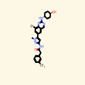 CCc1cc(-c2cc(NC(=O)Cc3cccc(C(F)(F)F)c3)nn2C)cc2cnc(N[C@H]3CC[C@H](O)CC3)nc12